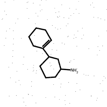 NC1CCCC(C2=CCCCC2)C1